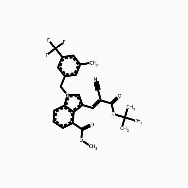 COC(=O)c1cccc2c1c(/C=C(\C#N)C(=O)OC(C)(C)C)cn2Cc1cc(C)cc(C(F)(F)F)c1